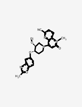 CCO[C@H]1CN(c2cc(=O)n(C)c3ccc(C#N)nc23)CC[C@@H]1Oc1ccc2oc(C)nc2c1